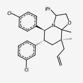 C=CC[C@@]1(C)C[C@H](c2cccc(Cl)c2)[C@@H](c2ccc(Cl)cc2)N2C(C(C)C)COC21C